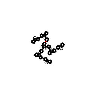 c1cc(-c2ccc3nc(-c4ccc(-n5c6ccccc6c6ccc(-c7ccc8c(c7)oc7ccccc78)cc65)cc4)nc(-c4cccc(-n5c6ccccc6c6ccc(-c7ccc8c(c7)oc7ccccc78)cc65)c4)c3c2)cc(-n2c3ccccc3c3ccc(-c4ccc5c(c4)oc4ccccc45)cc32)c1